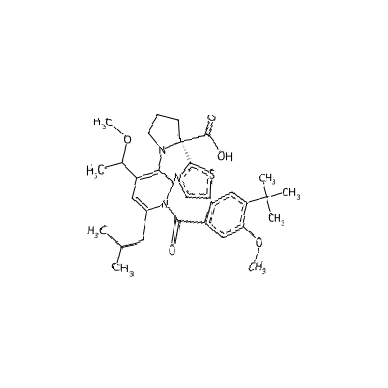 COc1cc(C(=O)N2CC(N3CCC[C@]3(C(=O)O)c3nccs3)=C(C(C)OC)C=C2CC(C)C)ccc1C(C)(C)C